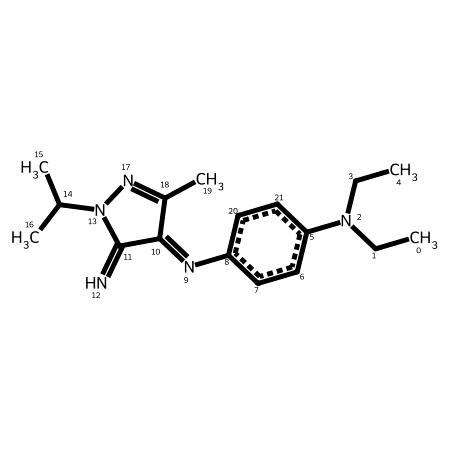 CCN(CC)c1ccc(N=C2C(=N)N(C(C)C)N=C2C)cc1